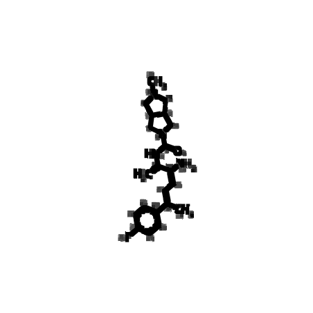 C=C(NC(=O)N1CC2CN(C)CC2C1)/C(N)=C\C=C(/C)c1ccc(F)cc1